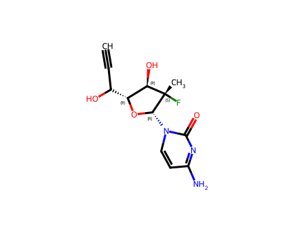 C#CC(O)[C@H]1O[C@@H](n2ccc(N)nc2=O)[C@@](C)(F)[C@@H]1O